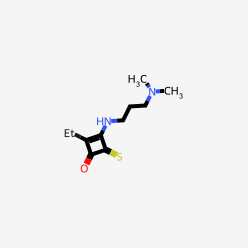 CCc1c(NCCCN(C)C)c(=S)c1=O